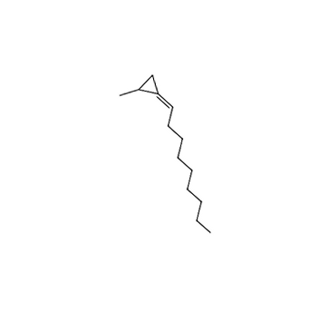 CCCCCCCCC=C1CC1C